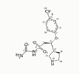 NC(=O)NS(=O)(=O)C[C@@H](Oc1ccc(C(F)(F)F)cc1)[C@H]1CCNC1